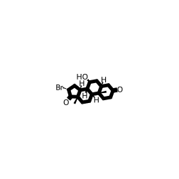 C[C@]12CCC(=O)C[C@@H]1C[C@H](O)[C@@H]1[C@@H]2CC[C@]2(C)C(=O)[C@H](Br)C[C@@H]12